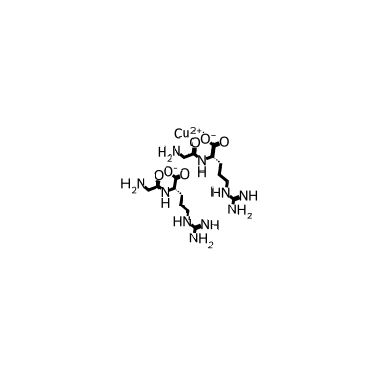 N=C(N)NCCC[C@H](NC(=O)CN)C(=O)[O-].N=C(N)NCCC[C@H](NC(=O)CN)C(=O)[O-].[Cu+2]